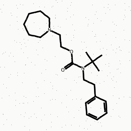 CC(C)(C)N(CCc1ccccc1)C(=O)OCCN1CCCCCC1